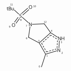 Cc1n[nH]c2c1CN(S(=O)(=O)C(C)(C)C)C2